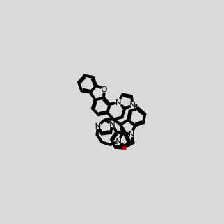 CN1C=CN2c3c(ccc4c3oc3ccccc34)C3(CC12)C1N2C=CN1c1ccccc1C31c3ccccc3N3C=CN(CCC2)C31